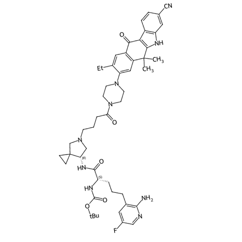 CCc1cc2c(cc1N1CCN(C(=O)CCCN3C[C@H](NC(=O)[C@H](CCCc4cc(F)cnc4N)NC(=O)OC(C)(C)C)C4(CC4)C3)CC1)C(C)(C)c1[nH]c3cc(C#N)ccc3c1C2=O